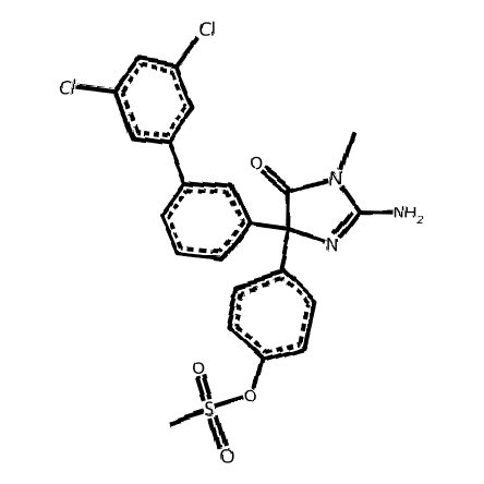 CN1C(=O)C(c2ccc(OS(C)(=O)=O)cc2)(c2cccc(-c3cc(Cl)cc(Cl)c3)c2)N=C1N